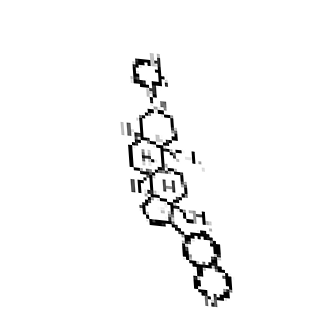 C[C@]12CC[C@H](n3ccnn3)C[C@@H]1CC[C@@H]1[C@@H]2CC[C@]2(C)C(c3ccc4ccncc4c3)=CC[C@@H]12